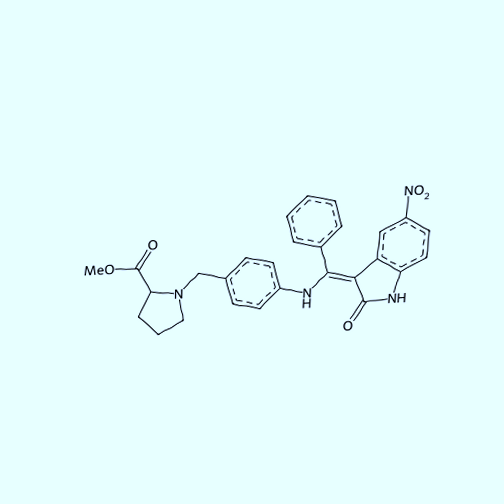 COC(=O)C1CCCN1Cc1ccc(N/C(=C2\C(=O)Nc3ccc([N+](=O)[O-])cc32)c2ccccc2)cc1